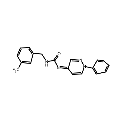 O=C(N=c1ccn(-c2ccccc2)nc1)NCc1cccc(C(F)(F)F)c1